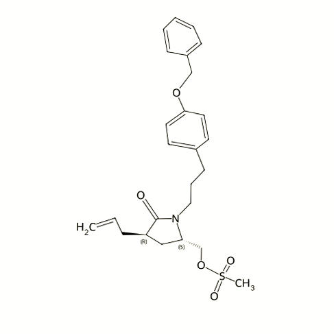 C=CC[C@@H]1C[C@@H](COS(C)(=O)=O)N(CCCc2ccc(OCc3ccccc3)cc2)C1=O